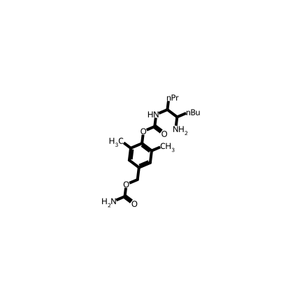 CCCCC(N)C(CCC)NC(=O)Oc1c(C)cc(COC(N)=O)cc1C